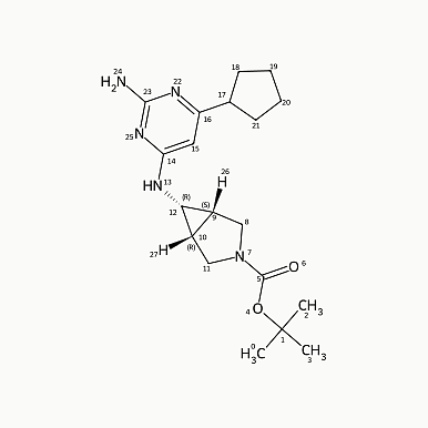 CC(C)(C)OC(=O)N1C[C@@H]2[C@H](C1)[C@@H]2Nc1cc(C2CCCC2)nc(N)n1